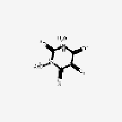 CC(=O)ON1C(=O)NC(=O)C(=O)C1=O.O